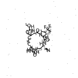 COC(=O)N[C@@H]1C(=O)N2C[C@H](C(F)(F)F)C[C@H]2C(=O)N[C@H](C#N)C[C@@H]2C[C@@H](CCCC1(C)C)NC2=O